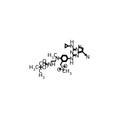 CN(CCNC(=O)OC(C)(C)C)c1ccc(Nc2nc(NC3CC3)n3ncc(C#N)c3n2)cc1CS(C)(=O)=O